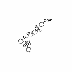 COc1ccc(S(=O)(=O)N2CCN(CC(O)COc3ccccc3NS(=O)(=O)c3ccccc3)CC2)cc1